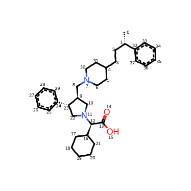 C[C@@H](CCC1CCN(C[C@H]2CN([C@@H](C(=O)O)C3CCCCC3)C[C@@H]2c2ccccc2)CC1)c1ccccc1